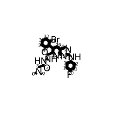 CN(C)CC(=O)NNC(=O)c1nc2nc(Nc3ccc(F)cc3)ncc2cc1-c1ccccc1Br